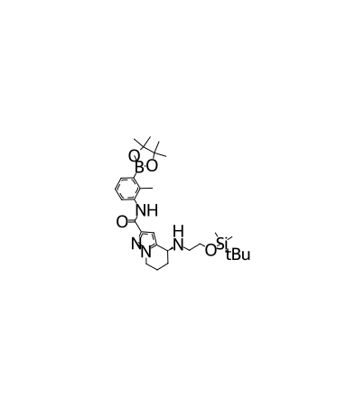 Cc1c(NC(=O)c2cc3n(n2)CCC[C@@H]3NCCO[Si](C)(C)C(C)(C)C)cccc1B1OC(C)(C)C(C)(C)O1